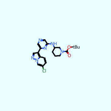 CC(C)(C)OC(=O)N1CCCC(Nc2cncc(-c3cnn4cc(Cl)ccc34)n2)C1